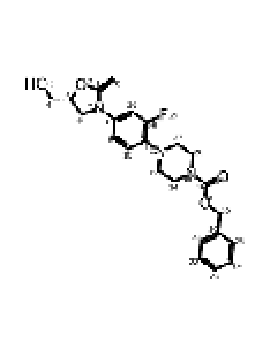 C=C1O[C@@H](CO)CN1c1ccc(N2CCN(C(=O)OCc3ccccc3)CC2)c(F)c1